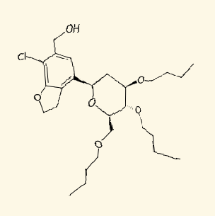 CCCCOC[C@H]1O[C@@H](c2cc(CO)c(Cl)c3c2CCO3)C[C@@H](OCCCC)[C@@H]1OCCCC